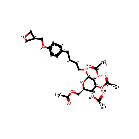 CC(=O)OC[C@H]1O[C@@H](OCCCCc2ccc(OCC3COC3)cc2)[C@H](OC(C)=O)[C@@H](OC(C)=O)[C@@H]1OC(C)=O